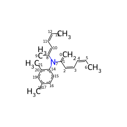 C=C(/C=C\C=C/C)N(/C(C)=C/C=C\C)c1ccc(C)cc1C